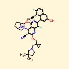 C#Cc1c(F)ccc2cc(O)cc(-c3nc4c5c(c(C#N)c(OCC6(CN7CCC(C)(C)C7)CC6)nc5c3F)N3CC5CCC(N5)C3O4)c12